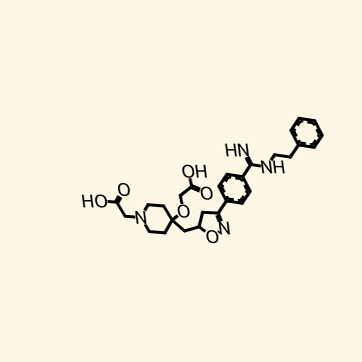 N=C(NCCc1ccccc1)c1ccc(C2=NOC(CC3(OCC(=O)O)CCN(CC(=O)O)CC3)C2)cc1